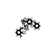 O=S1(=O)N=C(NCc2cccc(F)c2Cl)Nc2c(Oc3ccccc3Cl)cccc21